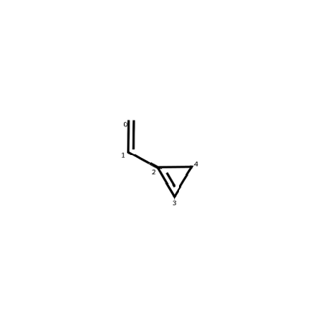 C=CC1=CC1